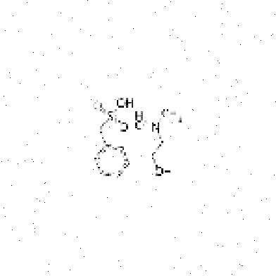 CN(C)CCO.O=S(=O)(O)Cc1ccccc1